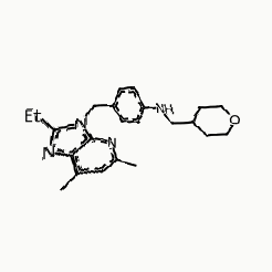 CCc1nc2c(C)cc(C)nc2n1Cc1ccc(NCC2CCOCC2)cc1